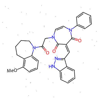 COc1cccc2c1CCCCN2C(=O)CN1C=CN(c2ccccc2)C(=O)C(=Cc2n[nH]c3ccccc23)C1=O